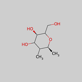 CC1C(O)[C@@H](O)C(CO)O[C@H]1C